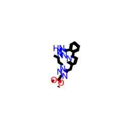 CCCCn1nc(C(OC)OC)nc1Cc1ccc(-c2ccccc2-c2nnn[nH]2)nc1